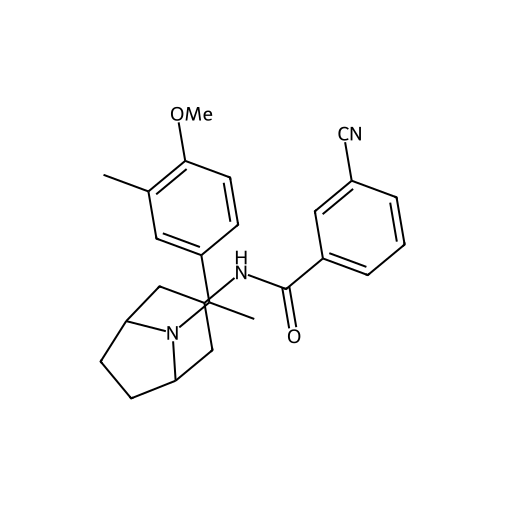 COc1ccc(C(C)N2C3CCC2CC(NC(=O)c2cccc(C#N)c2)C3)cc1C